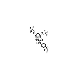 O=C(Nc1ccc(OC(F)(F)F)cc1)Nc1nc(OCC(F)(F)F)cc(OCC(F)(F)F)n1